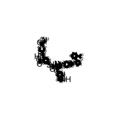 CC(C)c1ccccc1C1CCCN1C1CC2(CCN(c3cnc(C(=O)NSc4ccc(NCC5(F)CCN(C(=O)CN(C)C)CC5)c([N+](=O)[O-])c4)c(Oc4cnc5[nH]ccc5c4)c3)CC2)C1